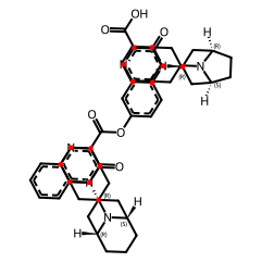 O=C(O)c1nc2cc(OC(=O)c3nc4ccccc4n([C@H]4C[C@H]5CCC[C@@H](C4)N5C4CC5CCCC(C5)C4)c3=O)ccc2n([C@H]2C[C@H]3CC[C@@H](C2)N3C2CC3CCCC(C3)C2)c1=O